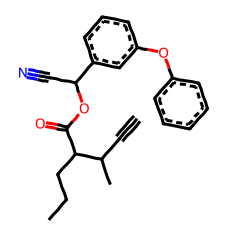 C#CC(C)C(CCC)C(=O)OC(C#N)c1cccc(Oc2ccccc2)c1